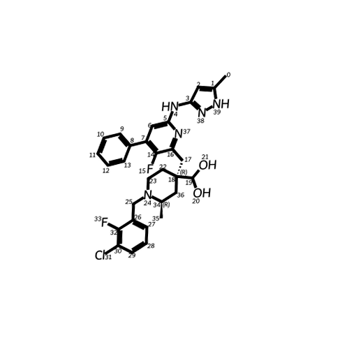 Cc1cc(Nc2cc(-c3ccccc3)c(F)c(C[C@@]3(C(O)O)CCN(Cc4cccc(Cl)c4F)[C@H](C)C3)n2)n[nH]1